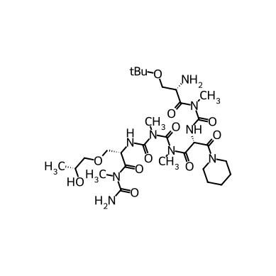 C[C@@H](O)COC[C@H](NC(=O)N(C)C(=O)N(C)C(=O)[C@H](NC(=O)N(C)C(=O)[C@@H](N)COC(C)(C)C)C(=O)N1CCCCC1)C(=O)N(C)C(N)=O